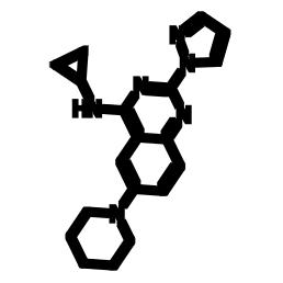 c1cnn(-c2nc(NC3CC3)c3cc(N4CCCCC4)ccc3n2)c1